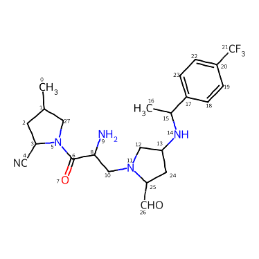 CC1CC(C#N)N(C(=O)C(N)CN2CC(NC(C)c3ccc(C(F)(F)F)cc3)CC2C=O)C1